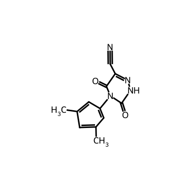 Cc1cc(C)cc(-n2c(=O)[nH]nc(C#N)c2=O)c1